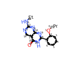 CCCOc1ccccc1-c1nc2nc(NCC)ncc2c(=O)[nH]1